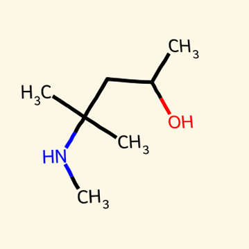 CNC(C)(C)CC(C)O